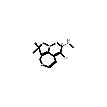 CN[C@H]1OB2OC(C)(C)C3=C2C(=C1Br)C=COC3